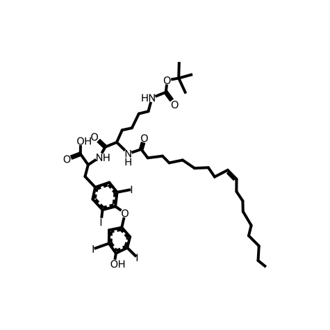 CCCCCCCC/C=C\CCCCCCCC(=O)NC(CCCCNC(=O)OC(C)(C)C)C(=O)NC(Cc1cc(I)c(Oc2cc(I)c(O)c(I)c2)c(I)c1)C(=O)O